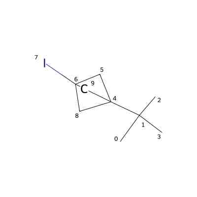 CC(C)(C)C12CC(I)(C1)C2